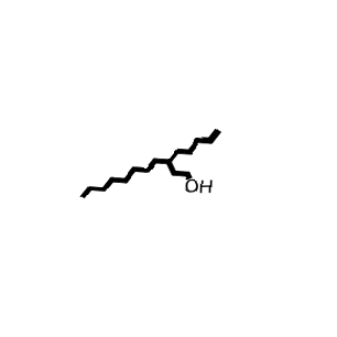 CCCCCCCCC(CCO)CCCCC